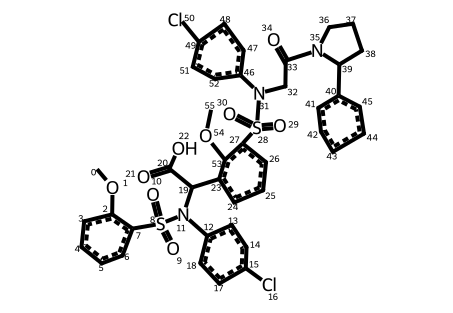 COc1ccccc1S(=O)(=O)N(c1ccc(Cl)cc1)C(C(=O)O)c1cccc(S(=O)(=O)N(CC(=O)N2CCCC2c2ccccc2)c2ccc(Cl)cc2)c1OC